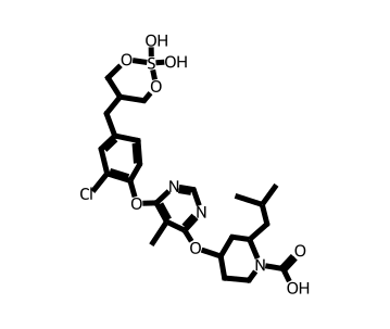 Cc1c(Oc2ccc(CC3COS(O)(O)OC3)cc2Cl)ncnc1OC1CCN(C(=O)O)C(CC(C)C)C1